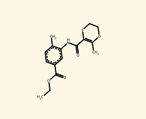 CCOC(=O)c1ccc(C)c(NC(=O)C2=C(C)OCCS2)c1